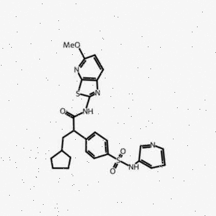 COc1ccc2nc(NC(=O)C(CC3CCCC3)c3ccc(S(=O)(=O)Nc4cccnc4)cc3)sc2n1